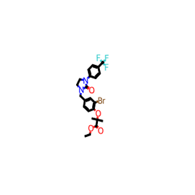 CCOC(=O)C(C)(C)Oc1ccc(CN2CCN(c3ccc(C(F)(F)F)cc3)C2=O)cc1Br